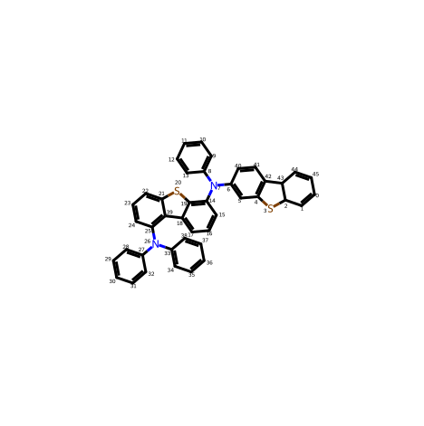 C1=CC2Sc3cc(N(c4ccccc4)c4cccc5c4sc4cccc(N(c6ccccc6)c6ccccc6)c45)ccc3C2C=C1